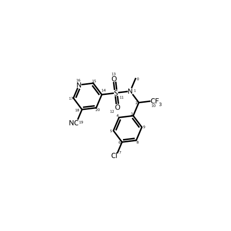 CN(C(c1ccc(Cl)cc1)C(F)(F)F)S(=O)(=O)c1cncc(C#N)c1